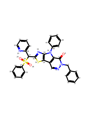 O=c1c2c(cnn1Cc1ccccc1)c1sc(C(c3ccccn3)S(=O)(=O)c3ccccc3)nc1n2-c1ccccc1